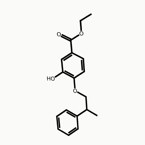 CCOC(=O)c1ccc(OCC(C)c2ccccc2)c(O)c1